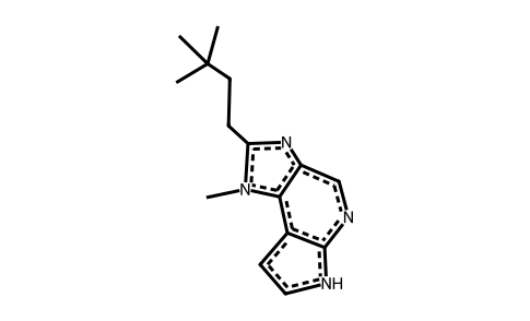 Cn1c(CCC(C)(C)C)nc2cnc3[nH]ccc3c21